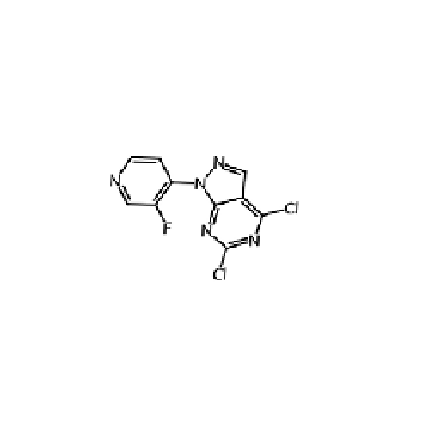 Fc1cnccc1-n1ncc2c(Cl)nc(Cl)nc21